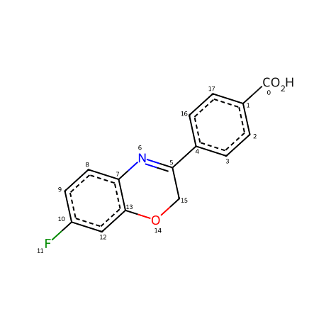 O=C(O)c1ccc(C2=Nc3ccc(F)cc3OC2)cc1